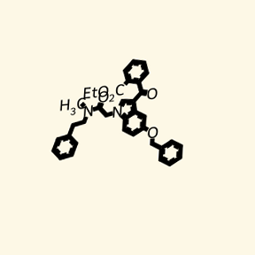 CCOC(=O)c1ccccc1C(=O)c1cn(CC(=O)N(C)CCc2ccccc2)c2ccc(OCc3ccccc3)cc12